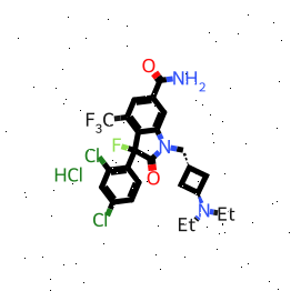 CCN(CC)[C@H]1C[C@H](CN2C(=O)C(F)(c3ccc(Cl)cc3Cl)c3c2cc(C(N)=O)cc3C(F)(F)F)C1.Cl